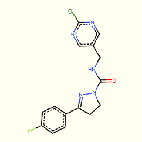 O=C(NCc1cnc(Cl)nc1)N1CCC(c2ccc(F)cc2)=N1